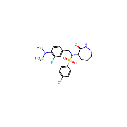 CC(C)(C)N(C(=O)O)c1ccc(CN([C@@H]2CCCCNC2=O)S(=O)(=O)c2ccc(Cl)cc2)cc1F